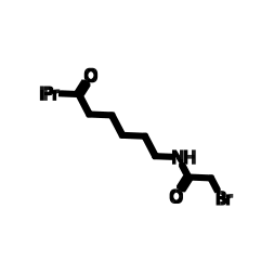 CC(C)C(=O)CCCCCNC(=O)CBr